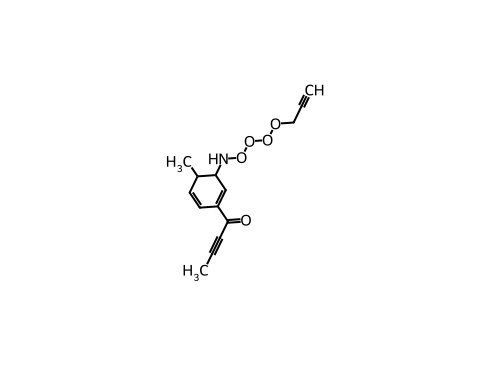 C#CCOOOONC1C=C(C(=O)C#CC)C=CC1C